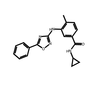 Cc1ccc(C(=O)NC2CC2)cc1Nc1noc(-c2ccccc2)n1